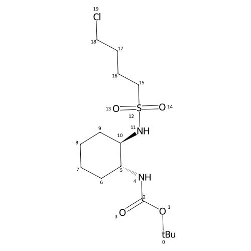 CC(C)(C)OC(=O)N[C@@H]1CCCC[C@H]1NS(=O)(=O)CCCCCl